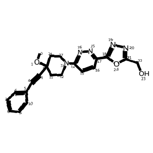 COC1(C#Cc2ccccc2)CCN(c2ccc(-c3nnc(CO)o3)nn2)CC1